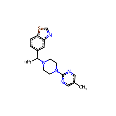 CCCC(c1ccc2scnc2c1)N1CCN(c2ncc(C)cn2)CC1